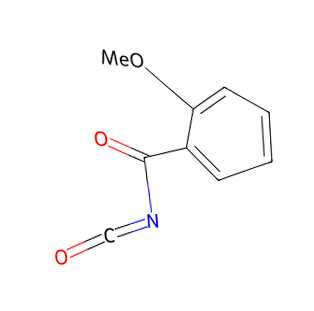 COc1ccccc1C(=O)N=C=O